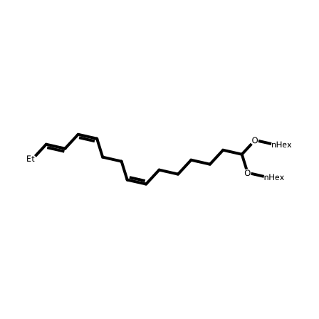 CC/C=C/C=C\CC/C=C\CCCCCC(OCCCCCC)OCCCCCC